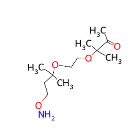 CC(=O)C(C)(C)OCCOC(C)(C)CCON